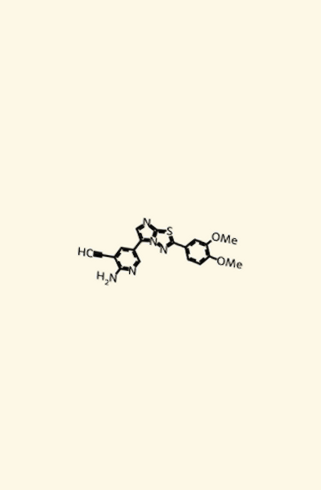 C#Cc1cc(-c2cnc3sc(-c4ccc(OC)c(OC)c4)nn23)cnc1N